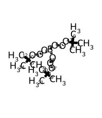 CC(C)(C)OOOB(OOOC(C)(C)C)OOOC(C)(C)C